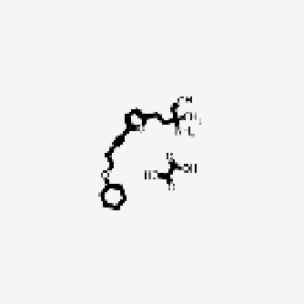 C[C@](N)(CO)CCc1ccc(C#CCCOC2CCCCC2)o1.O=C(O)C(=O)O